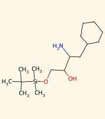 CC(C)(C)[Si](C)(C)OCC(O)C(N)CC1CCCCC1